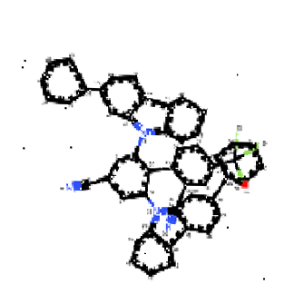 N#Cc1cc(-n2c3ccccc3c3ccc(-c4ccccc4)cc32)c(-c2ccc(C(F)(F)F)cc2C#N)c(-n2c3ccccc3c3ccc(-c4ccccc4)cc32)c1